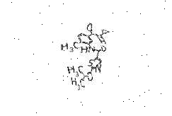 Cc1ccc(C(=O)NC2CC2)cc1NC(=O)c1cnc(OC(C)C)s1